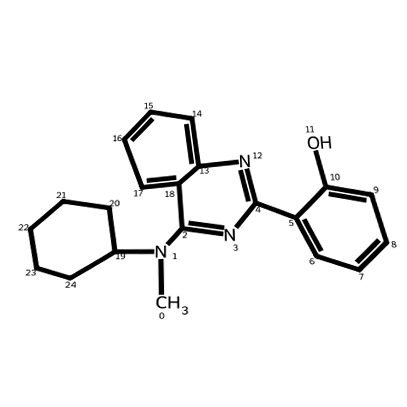 CN(c1nc(-c2ccccc2O)nc2ccccc12)C1CCCCC1